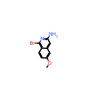 COc1ccc2c(Br)nc(N)cc2c1